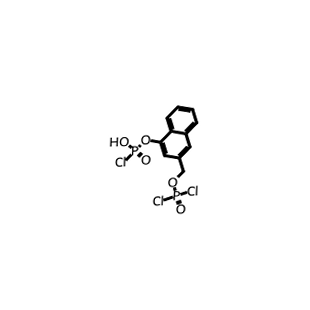 O=P(O)(Cl)Oc1cc(COP(=O)(Cl)Cl)cc2ccccc12